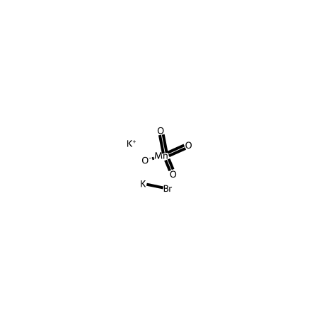 [K+].[K][Br].[O]=[Mn](=[O])(=[O])[O-]